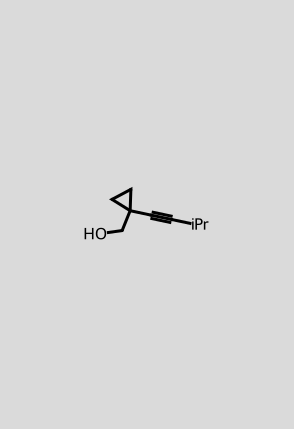 CC(C)C#CC1(CO)CC1